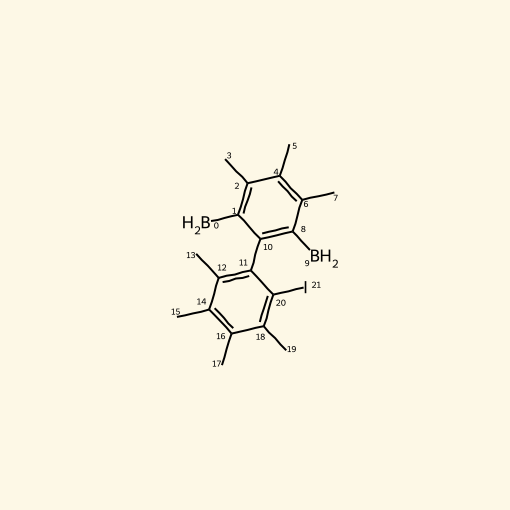 Bc1c(C)c(C)c(C)c(B)c1-c1c(C)c(C)c(C)c(C)c1I